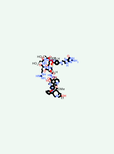 CCC1(O)CC2CN(CCc3c([nH]c4ccccc34)[C@](C(=O)OC)(c3cc4c(cc3OC)N(C)[C@@H]3[C@](O)(C(=O)NNC(=O)OCCSSC[C@H](NC(=O)[C@H](CC(=O)O)NC(=O)[C@H](CC(=O)O)NC(=O)[C@H](CCCNC(=N)N)NC(=O)[C@H](CC(=O)O)NC(=O)CC[C@H](NC(=O)c5ccc(N(C)CC6CNc7nc(N)[nH]c(=O)c7N6C)cc5)C(=O)O)C(=O)O)[C@@H](O)[C@@]5(CC)C=CCN6CC[C@@]43[C@H]65)C2)C1